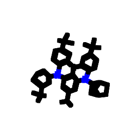 CC(C)c1cc2c3c(c1)N(C1CC4CCC1C4)c1ccc(C(C)(C)C)cc1B3c1cc(C(C)(C)C)ccc1N2c1cccc(C(C)(C)C)c1